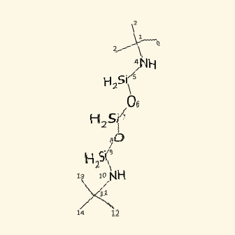 CC(C)(C)N[SiH2]O[SiH2]O[SiH2]NC(C)(C)C